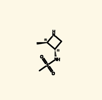 C[C@H]1NC[C@@H]1NS(C)(=O)=O